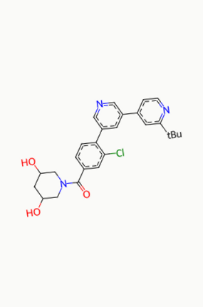 CC(C)(C)c1cc(-c2cncc(-c3ccc(C(=O)N4CC(O)CC(O)C4)cc3Cl)c2)ccn1